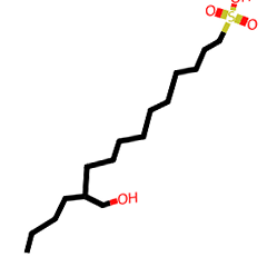 CCCCC(CO)CCCCCCCCCCS(=O)(=O)O